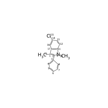 Cc1c(-c2ccccc2)n(C)c2ccc(Cl)cc12